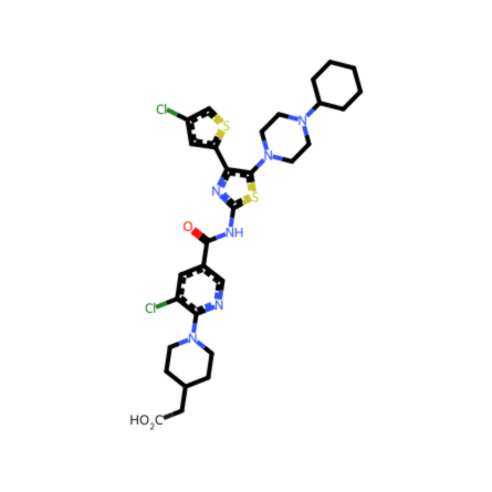 O=C(O)CC1CCN(c2ncc(C(=O)Nc3nc(-c4cc(Cl)cs4)c(N4CCN(C5CCCCC5)CC4)s3)cc2Cl)CC1